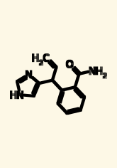 C=CC(c1c[nH]cn1)c1ccccc1C(N)=O